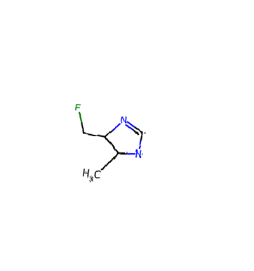 CC1[N][C]=NC1CF